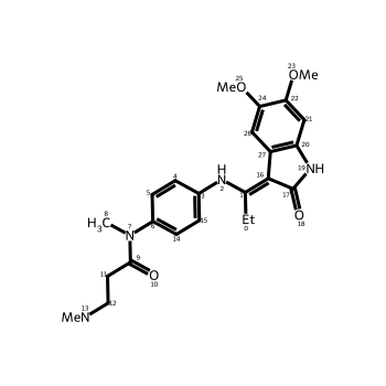 CCC(Nc1ccc(N(C)C(=O)CCNC)cc1)=C1C(=O)Nc2cc(OC)c(OC)cc21